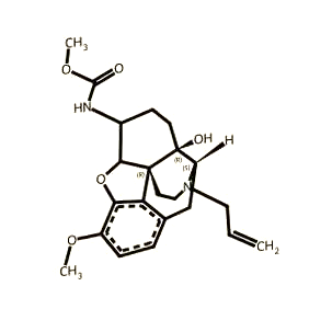 C=CCN1CC[C@@]23c4c5ccc(OC)c4OC2C(NC(=O)OC)CC[C@]3(O)[C@@H]1C5